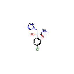 NC(=O)C(O)(Cn1cncn1)c1ccc(Cl)cc1